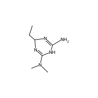 CCC1N=C(N)NC(N(C)C)=N1